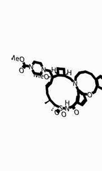 COC(=O)N1CCN(C[C@]2(OC)/C=C/C[C@H](C)[C@@H](C)S(=O)(=O)NC(=O)c3ccc4c(c3)N(CCCCc3cc(Cl)ccc3CO4)C[C@@H]3CC[C@H]32)CC1